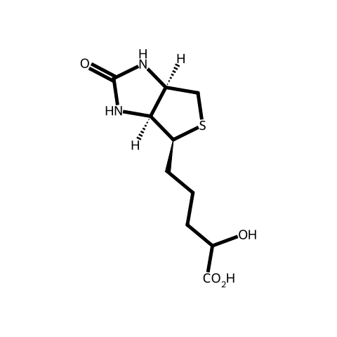 O=C1N[C@H]2[C@H](CS[C@H]2CCCC(O)C(=O)O)N1